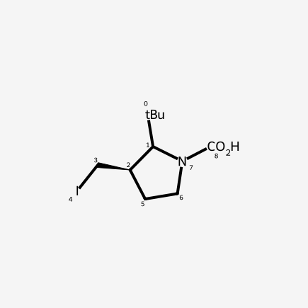 CC(C)(C)C1[C@H](CI)CCN1C(=O)O